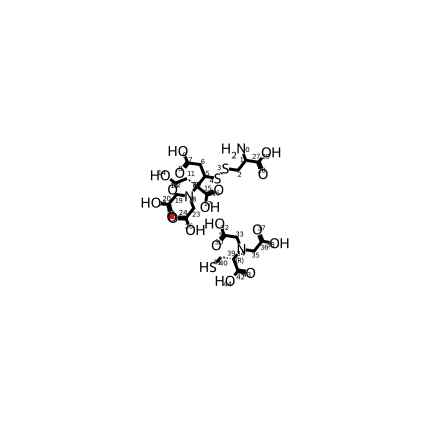 NC(CSSC(CC(=O)O)[C@@](CC(=O)O)(C(=O)O)N(CC(=O)O)CC(=O)O)C(=O)O.O=C(O)CN(CC(=O)O)[C@@H](CS)C(=O)O